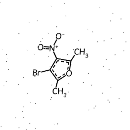 Cc1oc(C)c([N+](=O)[O-])c1Br